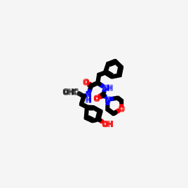 O=CC(Cc1ccc(O)cc1)NC(=O)C(Cc1ccccc1)NC(=O)N1CCOCC1